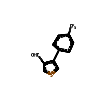 O=Cc1cscc1-c1ccc(C(F)(F)F)cc1